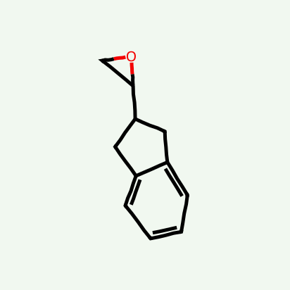 c1ccc2c(c1)CC(C1CO1)C2